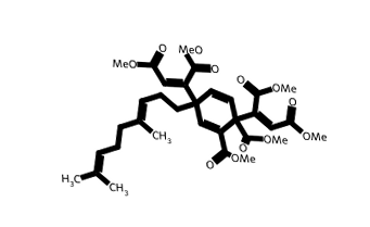 COC(=O)/C=C(\C(=O)OC)C1(CC/C=C(\C)CCC=C(C)C)C=CC(C(=O)OC)(/C(=C/C(=O)OC)C(=O)OC)C(C(=O)OC)=C1